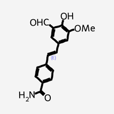 COc1cc(/C=C/c2ccc(C(N)=O)cc2)cc(C=O)c1O